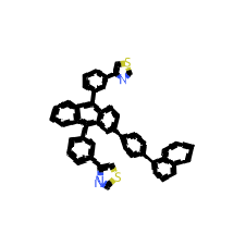 c1cc(-c2cscn2)cc(-c2c3ccccc3c(-c3cccc(-c4cscn4)c3)c3cc(-c4ccc(-c5cccc6ccccc56)cc4)ccc23)c1